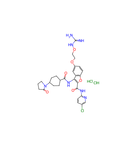 Cl.Cl.N=C(N)NOCCOc1ccc2oc(C(=O)Nc3ccc(Cl)cn3)c(NC(=O)C3CCC(N4CCCC4=O)CC3)c2c1